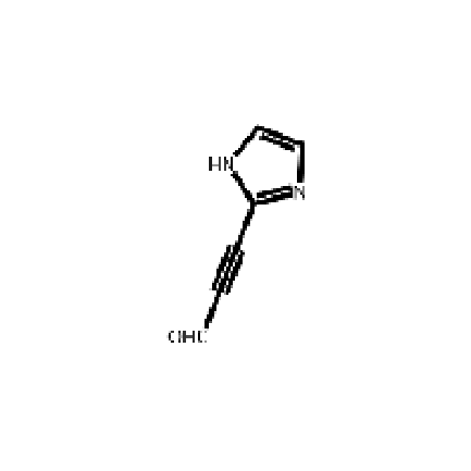 O=[C]C#Cc1ncc[nH]1